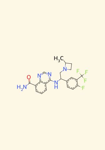 CC1CCN1CC(Nc1ncnc2c(C(N)=O)cccc12)c1ccc(F)c(C(F)(F)F)c1